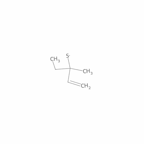 C=CC(C)([S])CC